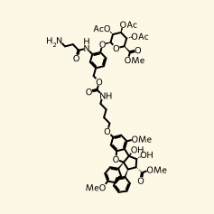 COC(=O)[C@H]1[C@@H](O)[C@@]2(O)c3c(OC)cc(OCCCCNC(=O)OCc4ccc(O[C@@H]5O[C@H](C(=O)OC)[C@@H](OC(C)=O)[C@H](OC(C)=O)[C@H]5OC(C)=O)c(NC(=O)CCN)c4)cc3O[C@@]2(c2ccc(OC)cc2)[C@@H]1c1ccccc1